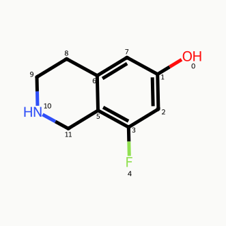 Oc1cc(F)c2c(c1)CCNC2